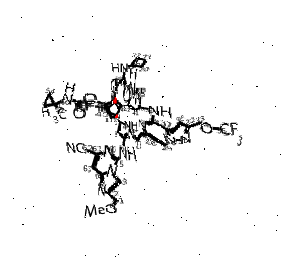 COCc1cn2c(Nc3cc([C@H]4C[C@@H](F)[C@@H](OC(=O)NC56CC(C5)C6)C4)[nH][n+]3Cc3cn4nc(COC(F)(F)F)cc4c(Nc4cc([C@H]5CC[C@@H](OC(=O)NC6(C)CC6)[C@H]5F)[nH]n4)n3)nc(C#N)cc2n1